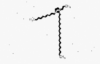 CCCCCCCCCCCCCCCCCCCc1n(CCC)cc[n+]1CCCCCCCCCC